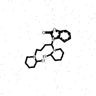 CCC1CCCCN1CCCC(N1CCCCC1CC)n1c(=O)oc2ccccc21